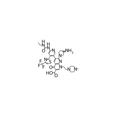 CCNC(=O)Nc1cc(-c2nc(C(F)(F)F)cs2)c(-c2cc3c(=O)c(C(=O)O)cn(CCN4CCN(C)CC4)c3nc2N2CC[C@@H](N)C2)cn1